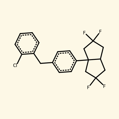 FC1(F)CC2CC(F)(F)CC2(c2ccc(Cc3ccccc3Cl)cc2)C1